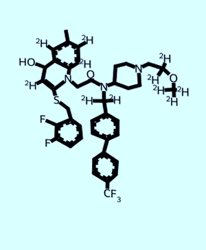 [2H]C1=C(SCc2cccc(F)c2F)N(CC(=O)N(C2CCN(CC([2H])([2H])OC([2H])([2H])[2H])CC2)C([2H])([2H])c2ccc(-c3ccc(C(F)(F)F)cc3)cc2)c2c([2H])c([2H])c(C)c([2H])c2C1O